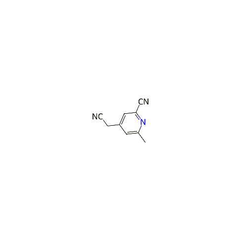 Cc1cc(CC#N)cc(C#N)n1